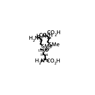 CSCC[C@H](N)C(=O)O.CSCC[C@H](N)C(=O)O.C[S+]([O-])CC[C@H](N)C(=O)O